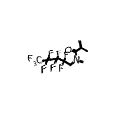 C=C(C)C(=O)N(C)CC(F)(F)C(F)(F)C(F)(F)C(F)(F)F